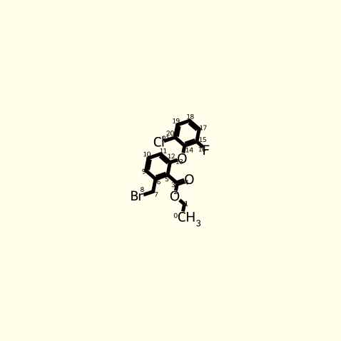 CCOC(=O)c1c(CBr)cccc1Oc1c(F)cccc1Cl